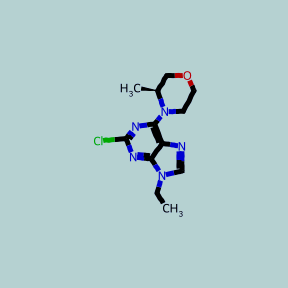 CCn1cnc2c(N3CCOC[C@@H]3C)nc(Cl)nc21